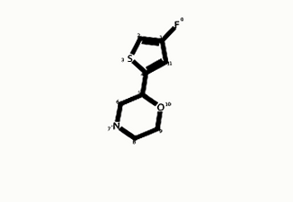 Fc1csc(C2C[N]CCO2)c1